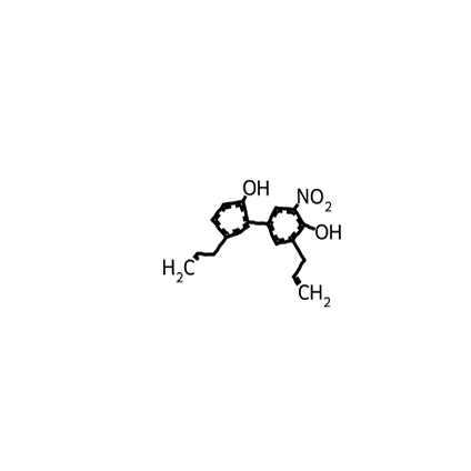 C=CCc1ccc(O)c(-c2cc(CC=C)c(O)c([N+](=O)[O-])c2)c1